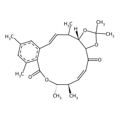 Cc1cc(C)c2c(c1)/C=C/C(C)[C@@H]1OC(C)(C)OC1C(=O)/C=C\[C@@H](C)[C@H](C)OC2=O